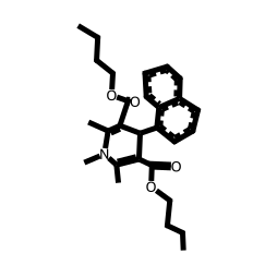 CCCCOC(=O)C1=C(C)N(C)C(C)=C(C(=O)OCCCC)C1c1cccc2ccccc12